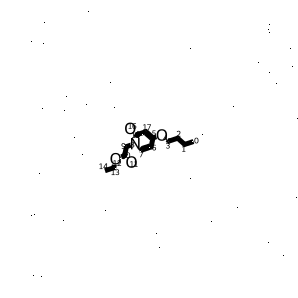 CCCCOc1ccn(CC(=O)OCC)c(=O)c1